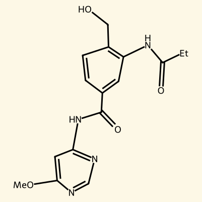 CCC(=O)Nc1cc(C(=O)Nc2cc(OC)ncn2)ccc1CO